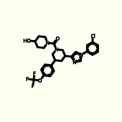 O=C(N1CCC(O)CC1)N1CC(c2ccc(OC(F)(F)F)cc2)CC(c2cn(-c3cccc(Cl)c3)cn2)C1